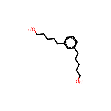 OCCCCCc1cccc(CCCCCO)c1